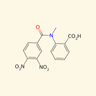 CN(C(=O)c1ccc([N+](=O)[O-])c([N+](=O)[O-])c1)c1ccccc1C(=O)O